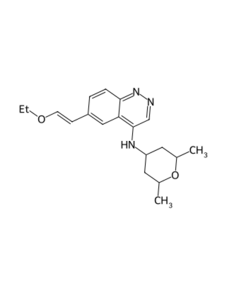 CCO/C=C/c1ccc2nncc(NC3CC(C)OC(C)C3)c2c1